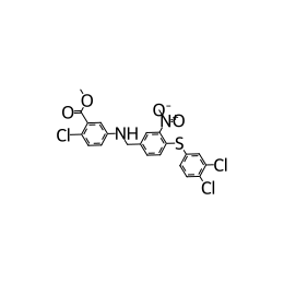 COC(=O)c1cc(NCc2ccc(Sc3ccc(Cl)c(Cl)c3)c([N+](=O)[O-])c2)ccc1Cl